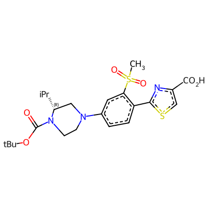 CC(C)[C@@H]1CN(c2ccc(-c3nc(C(=O)O)cs3)c(S(C)(=O)=O)c2)CCN1C(=O)OC(C)(C)C